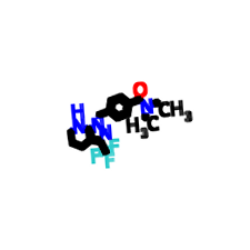 CCN(CC)C(=O)c1ccc(Cn2nc(C(F)(F)F)c3c2NCCC3)cc1